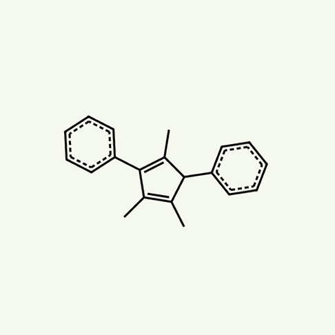 CC1=C(C)C(c2ccccc2)C(C)=C1c1ccccc1